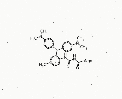 CCCCCCCCCC(=O)NC(=S)Nc1ccc(C)cc1C(c1ccc(N(C)C)cc1)c1ccc(N(C)C)cc1